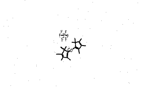 CC1=C(C)C(C)(C)[C]([Co][C]2=C(C)C(C)=C(C)C2(C)C)=C1C.F[P-](F)(F)(F)(F)F